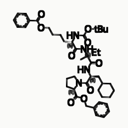 CC[C@](C)(NC(=O)[C@H](CCCCOC(=O)c1ccccc1)NC(=O)OC(C)(C)C)C(=O)N[C@@H](CC1CCCCC1)C(=O)N1CCC[C@@H]1C(=O)OCc1ccccc1